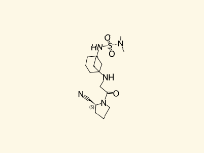 CN(C)S(=O)(=O)NC12CCCC(NCC(=O)N3CCC[C@H]3C#N)(C1)C2